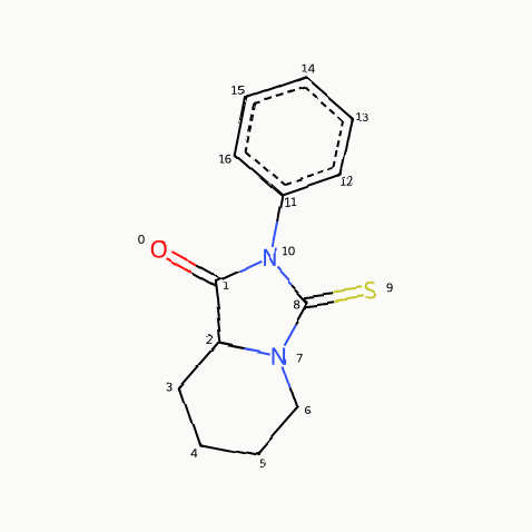 O=C1C2CCCCN2C(=S)N1c1ccccc1